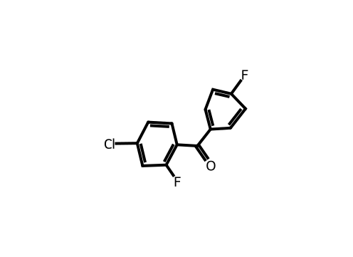 O=C(c1ccc(F)cc1)c1ccc(Cl)cc1F